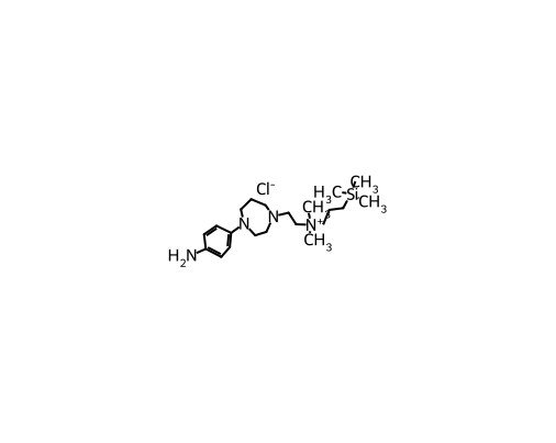 C[N+](C)(CCC[Si](C)(C)C)CCN1CCCN(c2ccc(N)cc2)CC1.[Cl-]